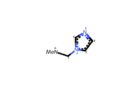 CNCn1ccnc1